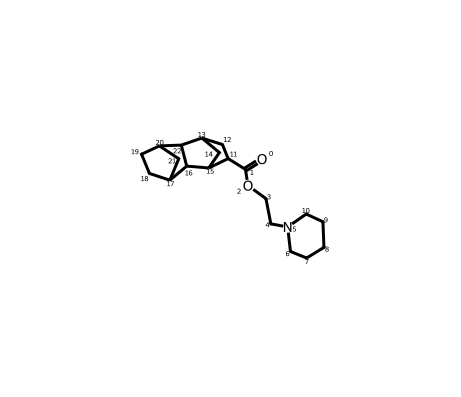 O=C(OCCN1CCCCC1)C1CC2CC1C1C3CCC(C3)C21